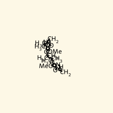 C=C1C[C@H]2C=Nc3cc(OCC(C)(C)CCC(C)(C)CCOc4cc5c(cc4OC)C(=O)N4CC(=C)C[C@H]4C(C)N5C)c(OC)cc3C(=O)N2C1